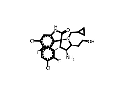 N[C@@H]1[C@H](CCO)N(CC2CC2)[C@@]2(C(=O)Nc3cc(Cl)c(F)cc32)[C@H]1c1cccc(Cl)c1F